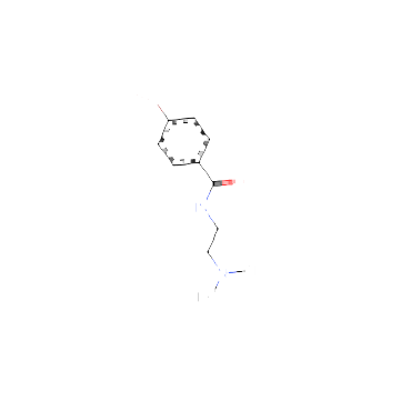 CN(C)CCNC(=O)c1ccc([76Br])cc1